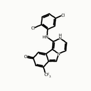 O=c1cc(C(F)(F)F)c2cn3cc[nH]c(Nc4cc(Cl)ccc4Cl)c3c2c1